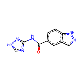 O=C(Nc1nc[nH]n1)c1ccc2[nH]ncc2c1